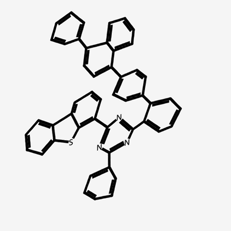 c1ccc(-c2nc(-c3ccccc3-c3ccc(-c4ccc(-c5ccccc5)c5ccccc45)cc3)nc(-c3cccc4c3sc3ccccc34)n2)cc1